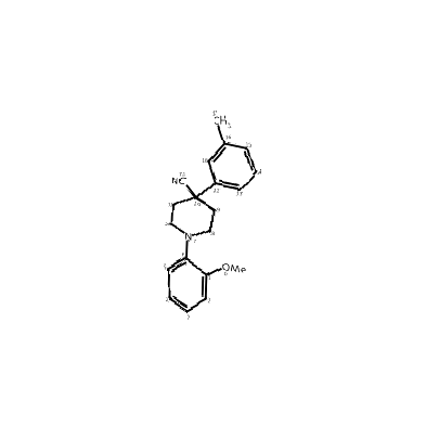 COc1ccccc1N1CCC(C#N)(c2cccc(C)c2)CC1